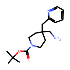 CC(C)(C)OC(=O)N1CCC(CN)(Cc2ccccn2)CC1